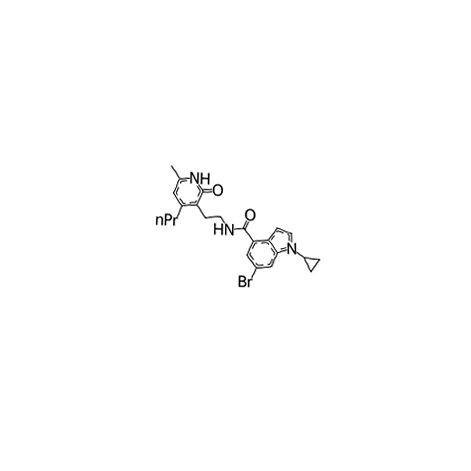 CCCc1cc(C)[nH]c(=O)c1CCNC(=O)c1cc(Br)cc2c1ccn2C1CC1